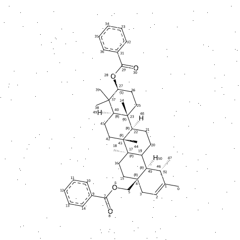 CC1=CC[C@]2(COC(=O)c3ccccc3)CC[C@]3(C)C(CC[C@@H]4[C@@]5(C)CC[C@H](OC(=O)c6ccccc6)C(C)(C)[C@@H]5CC[C@]43C)[C@H]2[C@@H]1C